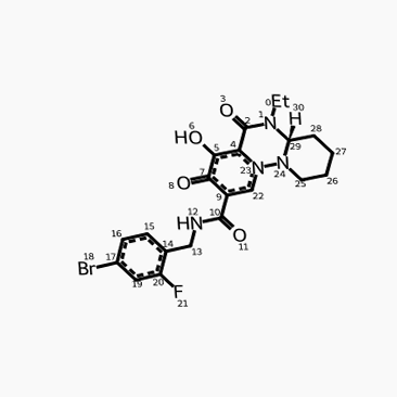 CCN1C(=O)c2c(O)c(=O)c(C(=O)NCc3ccc(Br)cc3F)cn2N2CCCC[C@@H]12